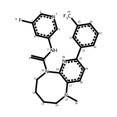 C=C(Nc1cncc(F)c1)N1CCCCN(C)c2ccc(-c3cccc(C(F)(F)F)c3)nc21